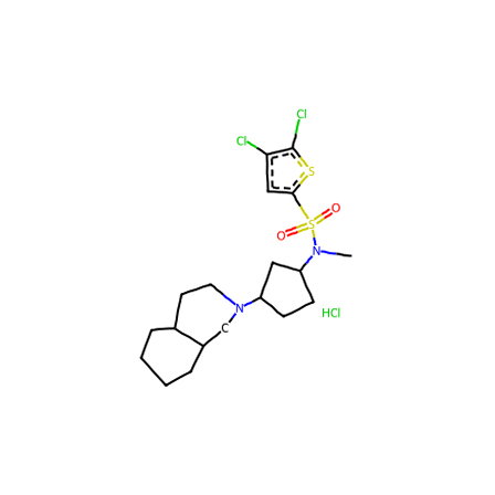 CN(C1CCC(N2CCC3CCCCC3C2)C1)S(=O)(=O)c1cc(Cl)c(Cl)s1.Cl